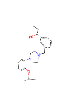 CCC(O)c1cccc(CN2CCN(c3ccccc3OC(C)C)CC2)c1